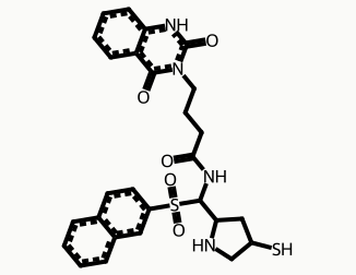 O=C(CCCn1c(=O)[nH]c2ccccc2c1=O)NC(C1CC(S)CN1)S(=O)(=O)c1ccc2ccccc2c1